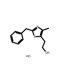 Cc1nc(Cc2ccccc2)sc1CCO.Cl